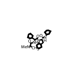 CN[C@@H](C)C(=O)N[C@H](C(=O)N1c2ccccc2C[C@H]1C(=O)Nc1ccccc1)c1ccccc1